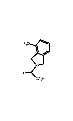 CC(C)C(C(=O)O)N1Cc2cccc(C(F)(F)F)c2C1